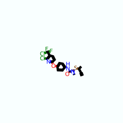 C#CC(C)SN(C)C(=O)Nc1ccc(Oc2ccc(C(F)(F)Cl)c(Cl)n2)cc1